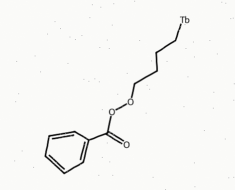 O=C(OOCCC[CH2][Tb])c1ccccc1